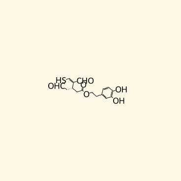 O=CC[C@@H](CC(=O)OCCc1ccc(O)c(O)c1)/C(C=O)=C\S